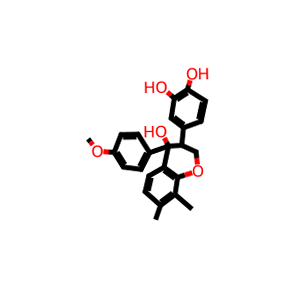 COc1ccc(C2(O)c3ccc(C)c(C)c3OCC2c2ccc(O)c(O)c2)cc1